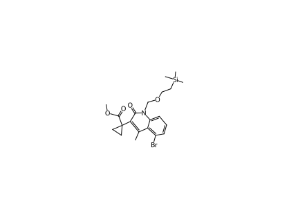 COC(=O)C1(c2c(C)c3c(Br)cccc3n(COCC[Si](C)(C)C)c2=O)CC1